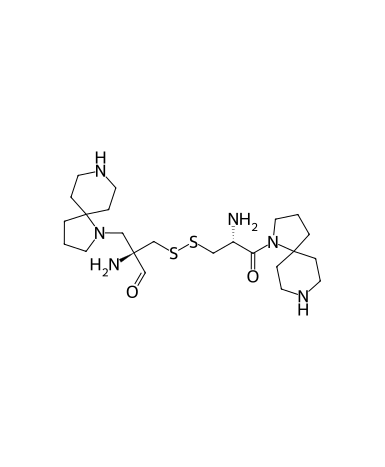 N[C@@H](CSSC[C@](N)(C=O)CN1CCCC12CCNCC2)C(=O)N1CCCC12CCNCC2